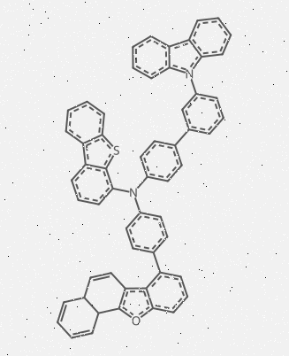 C1=CC2C=Cc3c(oc4cccc(-c5ccc(N(c6ccc(-c7cccc(-n8c9ccccc9c9ccccc98)c7)cc6)c6cccc7c6sc6ccccc67)cc5)c34)C2C=C1